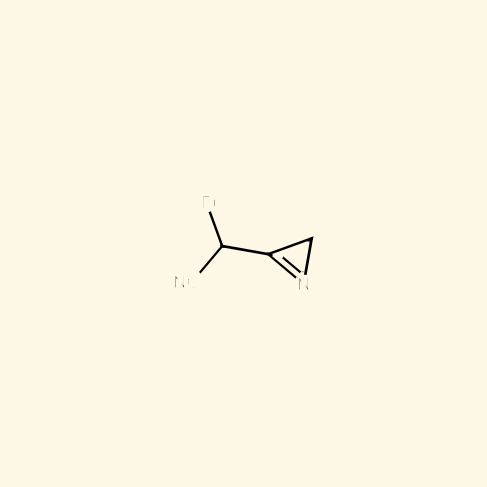 CCC(C#N)C1=NC1